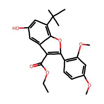 CCOC(=O)c1c(-c2ccc(OC)cc2OC)oc2c(C(C)(C)C)cc(O)cc12